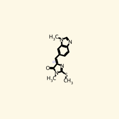 CSC1=N/C(=C\c2ccc3ncn(C)c3c2)C(=O)N1C